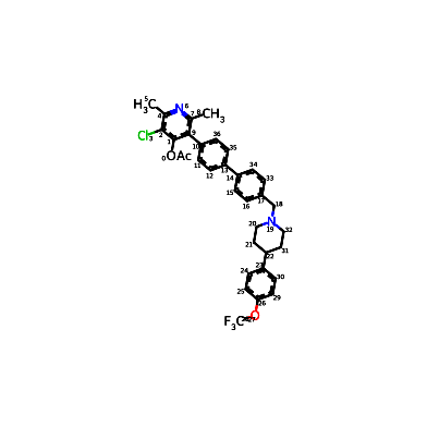 CC(=O)Oc1c(Cl)c(C)nc(C)c1-c1ccc(-c2ccc(CN3CCC(c4ccc(OC(F)(F)F)cc4)CC3)cc2)cc1